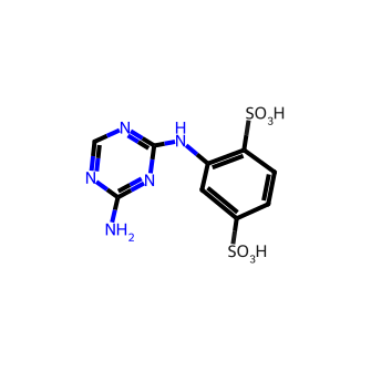 Nc1ncnc(Nc2cc(S(=O)(=O)O)ccc2S(=O)(=O)O)n1